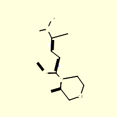 C=N/C(=C\C=C(/C)B(O)O)N1CCNCC1=O